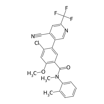 COc1cc(Cl)c(-c2cnc(C(F)(F)F)cc2C#N)cc1C(=O)N(C)c1ccccc1C